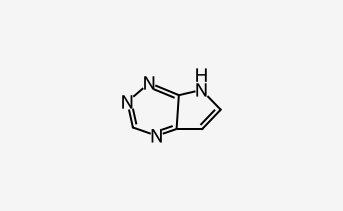 c1nnc2[nH]ccc2n1